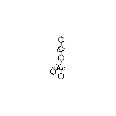 CC(CN1CCC(C2=COC(C3=CC=CCC3)=CO2)CC1)N(C(=O)C1CCCCC1)c1ccccn1